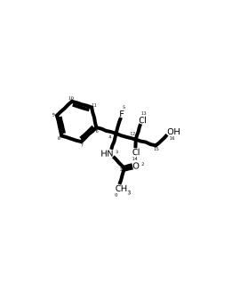 CC(=O)NC(F)(c1ccccc1)C(Cl)(Cl)CO